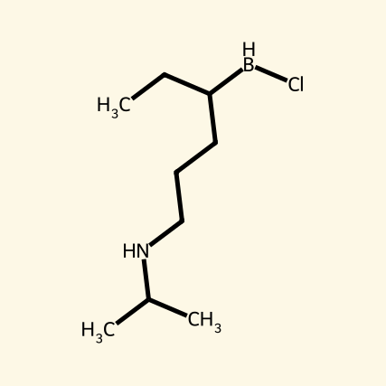 CCC(BCl)CCCNC(C)C